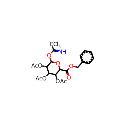 CC(=O)OC1C(OC(=N)C(Cl)(Cl)Cl)OC(C(=O)OCc2ccccc2)C(OC(C)=O)C1OC(C)=O